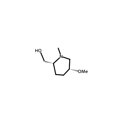 CO[C@@H]1CC[C@H](CO)N(C)C1